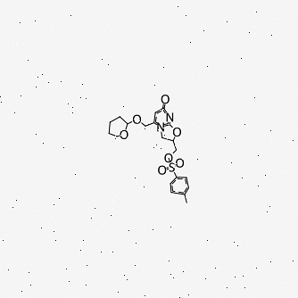 Cc1ccc(S(=O)(=O)OCC2Cn3c(COC4CCCCO4)cc(=O)nc3O2)cc1